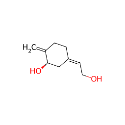 C=C1CC/C(=C/CO)C[C@H]1O